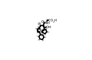 O=C(O)CNC(=O)C1=C(O)C2(CCCC2)n2c(ccc2C2CCCCC2)C1=O